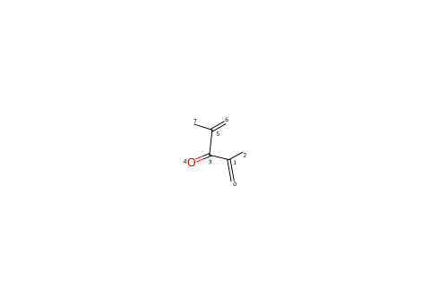 C=C(C)C(=O)C(=C)C